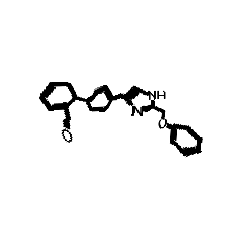 O=Cc1ccccc1-c1ccc(-c2c[nH]c(COc3ccccc3)n2)cc1